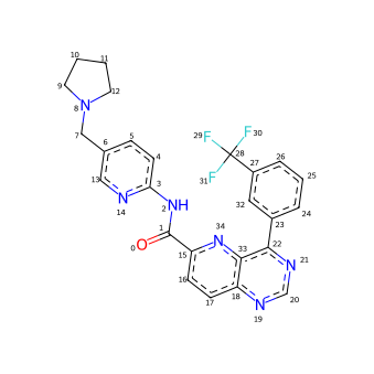 O=C(Nc1ccc(CN2CCCC2)cn1)c1ccc2ncnc(-c3cccc(C(F)(F)F)c3)c2n1